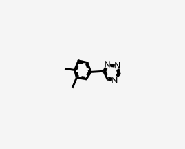 Cc1ccc(-c2cncnn2)cc1C